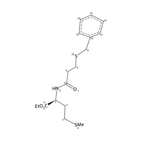 CCOC(=O)[C@H](CCSC)NC(=O)CCSCc1ccccc1